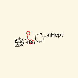 CCCCCCCc1ccc(OC(=O)[C]23[CH]4[CH]5[CH]6[CH]2[Fe]56432789[CH]3[CH]2[CH]7[C]8(C(C)(C)C)[CH]39)cc1